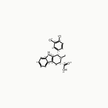 CN1[C@@H](c2ccc(Cl)c(Cl)c2)c2[nH]c3ccccc3c2C[C@H]1C(=O)O